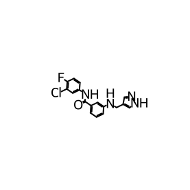 O=C(Nc1ccc(F)c(Cl)c1)c1cccc(NCc2cn[nH]c2)c1